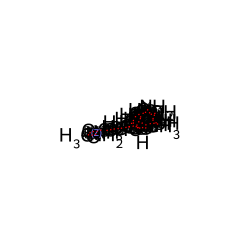 CC[C@H](C)[C@@H]1NC(=O)CCNC(=O)[C@@H]2Cc3c([nH]c4c(CSCCOCCOCCOCCOCCOCCN/C=C(\N)CN5C(=O)CC(C)C5=O)c(O)ccc34)[S+]([O-])C[C@@H](NC(=O)CNC1=O)C(=O)N[C@@H](CC(N)=O)C(=O)N1C[C@H](O)C[C@H]1C(=O)N[C@@H]([C@@H](C)[C@@H](O)CO)C(=O)N2